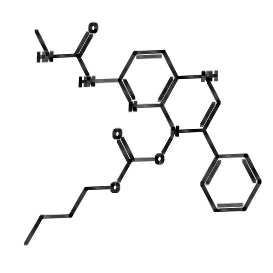 CCCCOC(=O)ON1C(c2ccccc2)=CNc2ccc(NC(=O)NC)nc21